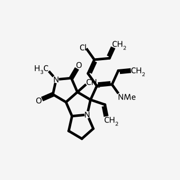 C=C/C(NC)=C(\C=C(\Cl)C=C)C1(C=C)N2CCCC2C2C(=O)N(C)C(=O)C21C